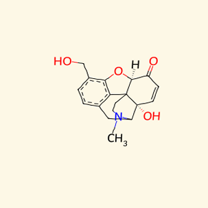 CN1CCC23c4c5ccc(CO)c4O[C@H]2C(=O)C=C[C@@]3(O)C1C5